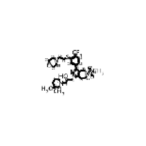 CC1(C)CCCN(CC(O)Cn2nc(-c3ccc(C(F)(F)F)c(SCCN4CCOCC4)c3)c3c2CCN(S(C)(=O)=O)C3)C1